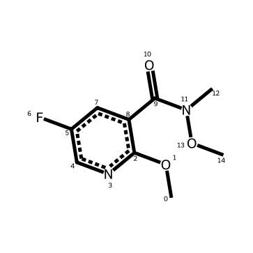 COc1ncc(F)cc1C(=O)N(C)OC